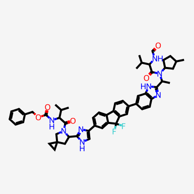 CC1CCC(N(C(=O)C(NC=O)C(C)C)C(C)c2nc3ccc(-c4ccc5c(c4)C(F)(F)c4cc(-c6c[nH]c(C7CC8(CC8)CN7C(=O)C(NC(=O)OCc7ccccc7)C(C)C)n6)ccc4-5)cc3[nH]2)C1